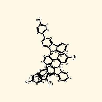 N#Cc1ccc(-c2ccc3c(c2)c2ccccc2n3-c2ccc(-c3cc(C(F)(F)F)cc(C(F)(F)F)c3)cc2-c2ccc(C#N)cc2-n2c3ccccc3c3cc(-c4ccc(C#N)cc4)ccc32)cc1